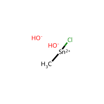 [CH3][Sn+2][Cl].[OH-].[OH-]